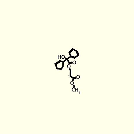 CCOC(=O)[CH]COC(=O)C(O)(c1ccccc1)C1C=CCCC1